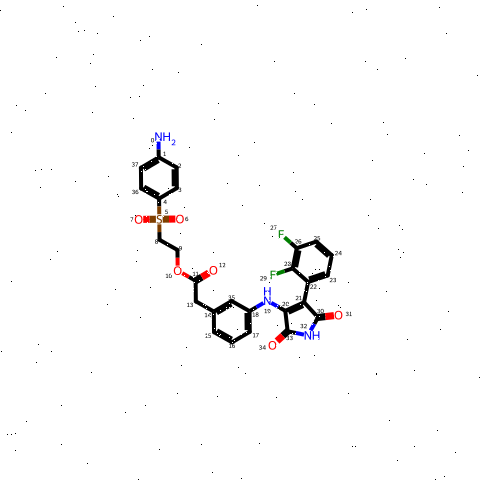 Nc1ccc(S(=O)(=O)CCOC(=O)Cc2cccc(NC3=C(c4cccc(F)c4F)C(=O)NC3=O)c2)cc1